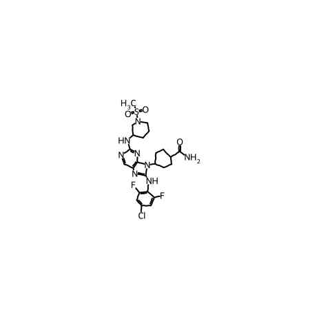 CS(=O)(=O)N1CCCC(Nc2ncc3nc(Nc4c(F)cc(Cl)cc4F)n(C4CCC(C(N)=O)CC4)c3n2)C1